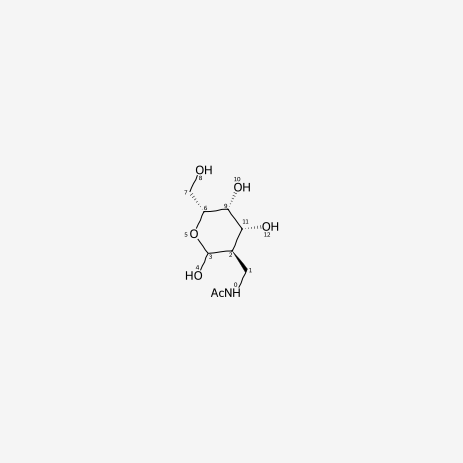 CC(=O)NC[C@H]1C(O)O[C@H](CO)[C@H](O)[C@@H]1O